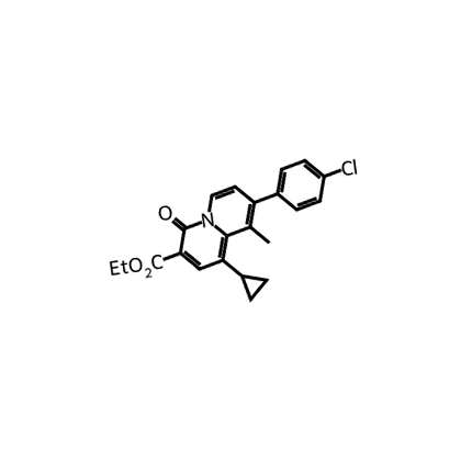 CCOC(=O)c1cc(C2CC2)c2c(C)c(-c3ccc(Cl)cc3)ccn2c1=O